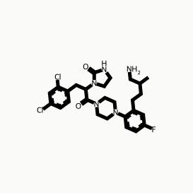 CC(CN)CCc1cc(F)ccc1N1CCN(C(=O)C(Cc2ccc(Cl)cc2Cl)N2CCNC2=O)CC1